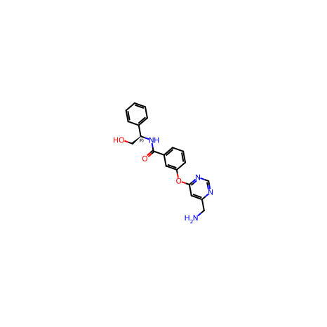 NCc1cc(Oc2cccc(C(=O)N[C@@H](CO)c3ccccc3)c2)ncn1